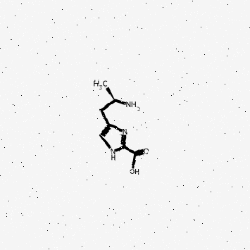 C[C@@H](N)Cc1c[nH]c(C(=O)O)n1